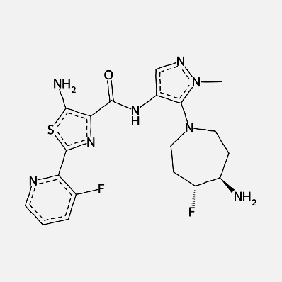 Cn1ncc(NC(=O)c2nc(-c3ncccc3F)sc2N)c1N1CC[C@@H](N)[C@H](F)CC1